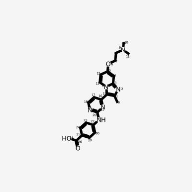 Cc1nc2cc(OCCN(C)C)ccn2c1-c1ccnc(Nc2ccc(C(=O)O)cc2)n1